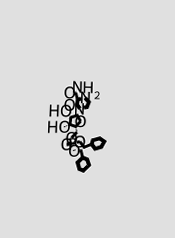 NC(=O)c1nccn([C@@H]2O[C@H](COP(=O)(OCc3ccccc3)OCc3ccccc3)[C@H](O)[C@H]2O)c1=O